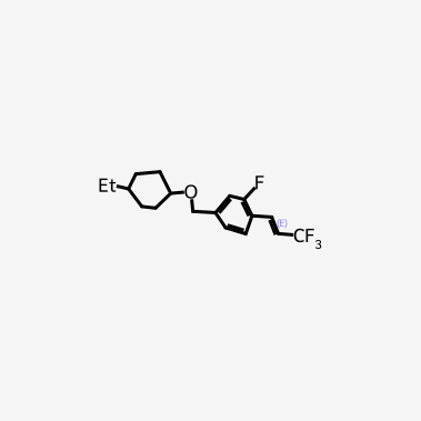 CCC1CCC(OCc2ccc(/C=C/C(F)(F)F)c(F)c2)CC1